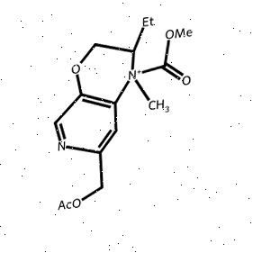 CCC1COc2cnc(COC(C)=O)cc2[N+]1(C)C(=O)OC